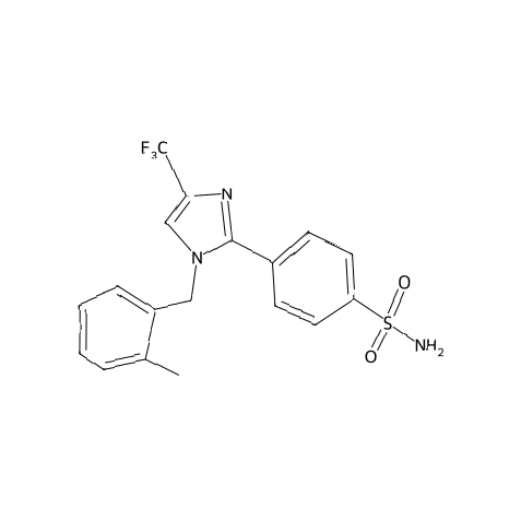 Cc1ccccc1Cn1cc(C(F)(F)F)nc1-c1ccc(S(N)(=O)=O)cc1